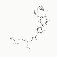 CC(C)CCCC(C)CCOc1ccc(-c2ccc(Cl)c(C(O)O)c2)cc1